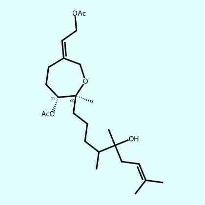 CC(=O)OCC=C1CC[C@@H](OC(C)=O)[C@](C)(CCCC(C)C(C)(O)CC=C(C)C)OC1